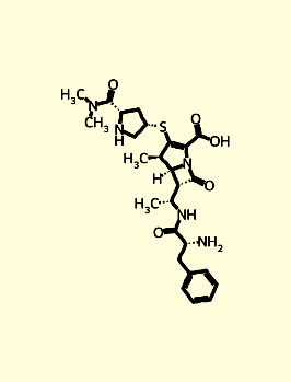 C[C@@H](NC(=O)[C@H](N)Cc1ccccc1)[C@H]1C(=O)N2C(C(=O)O)=C(S[C@@H]3CN[C@H](C(=O)N(C)C)C3)[C@H](C)[C@H]12